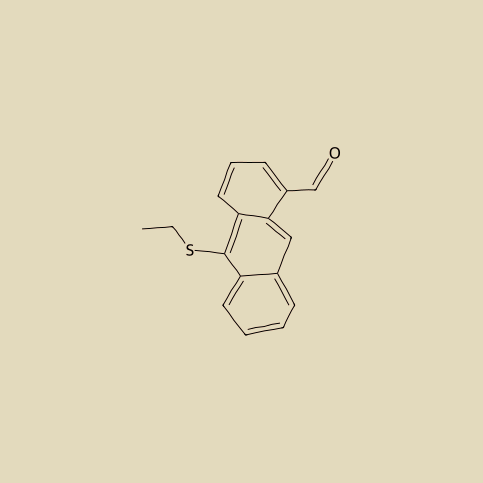 CCSc1c2ccccc2cc2c(C=O)cccc12